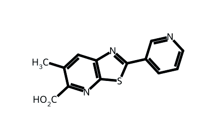 Cc1cc2nc(-c3cccnc3)sc2nc1C(=O)O